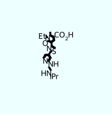 CCn1c(C)c(C(=O)O)cc(-c2csc(-c3ccnc(NCCNC(C)C)c3)n2)c1=O